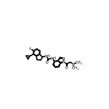 CN(C)CC(=O)n1ncc2c(NC(=O)NC3CCc4c3ccc(F)c4C3CC3)cccc21